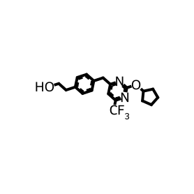 OCCc1ccc(Cc2cc(C(F)(F)F)nc(OC3CCCC3)n2)cc1